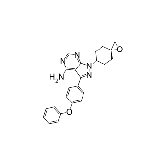 Nc1ncnc2c1c(-c1ccc(Oc3ccccc3)cc1)nn2[C@H]1CC[C@@]2(CC1)CO2